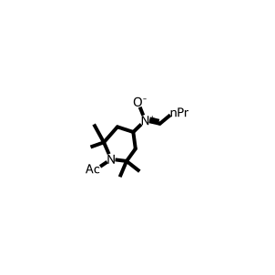 CCCC=[N+]([O-])C1CC(C)(C)N(C(C)=O)C(C)(C)C1